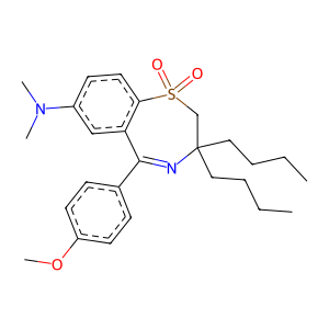 CCCCC1(CCCC)CS(=O)(=O)c2ccc(N(C)C)cc2C(c2ccc(OC)cc2)=N1